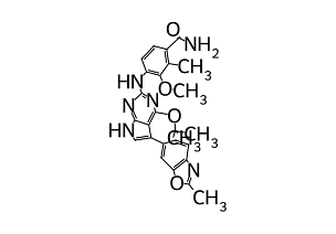 COc1c(Nc2nc(OC(C)C)c3c(-c4ccc5nc(C)oc5c4)c[nH]c3n2)ccc(C(N)=O)c1C